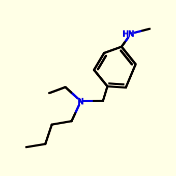 CCCCN(CC)Cc1ccc(NC)cc1